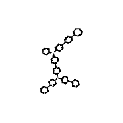 C1=CCC=C(c2ccc(-c3ccc(N(c4ccccc4)c4ccc(-c5ccc(N(c6ccc(-c7ccccc7)cc6)c6ccc(-c7ccccc7)cc6)cc5)cc4)cc3)cc2)C=C1